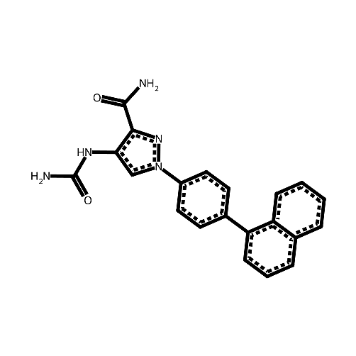 NC(=O)Nc1cn(-c2ccc(-c3cccc4ccccc34)cc2)nc1C(N)=O